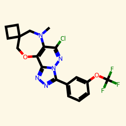 CN1CC2(CCC2)COc2c1c(Cl)nn1c(-c3cccc(OC(F)(F)F)c3)nnc21